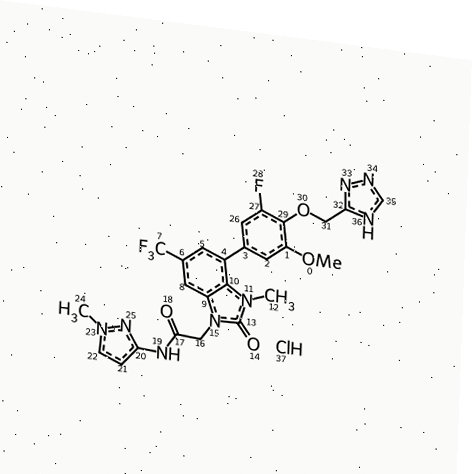 COc1cc(-c2cc(C(F)(F)F)cc3c2n(C)c(=O)n3CC(=O)Nc2ccn(C)n2)cc(F)c1OCc1nnc[nH]1.Cl